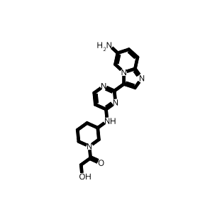 Nc1ccc2ncc(-c3nccc(NC4CCCN(C(=O)CO)C4)n3)n2c1